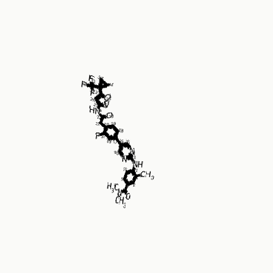 Cc1cc(C(=O)N(C)C)ccc1Nc1ncc(-c2ccc(CC(=O)Nc3cc(C4(C(F)(F)F)CC4)on3)c(F)c2)cn1